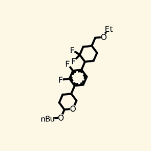 CCCCOC1CCC(c2ccc(C3CCC(COCC)CC3(F)F)c(F)c2F)CO1